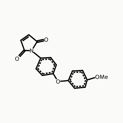 COc1ccc(Oc2ccc(N3C(=O)C=CC3=O)cc2)cc1